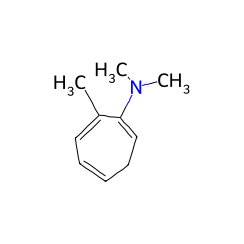 CC1=CC=CCC=C1N(C)C